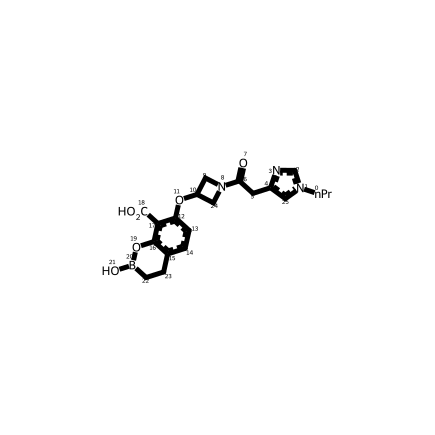 CCCn1cnc(CC(=O)N2CC(Oc3ccc4c(c3C(=O)O)OB(O)CC4)C2)c1